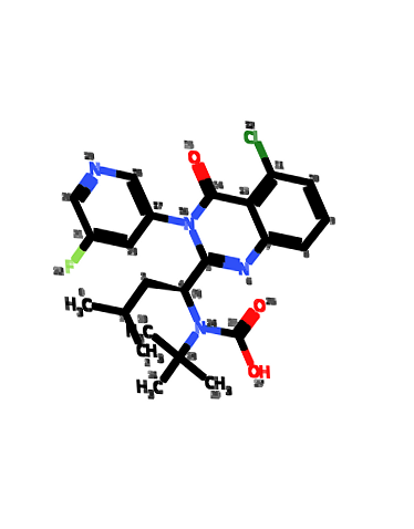 CC(C)C[C@@H](c1nc2cccc(Cl)c2c(=O)n1-c1cncc(F)c1)N(C(=O)O)C(C)(C)C